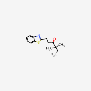 CCC(C)(C)C(=O)CCc1nc2ccccc2s1